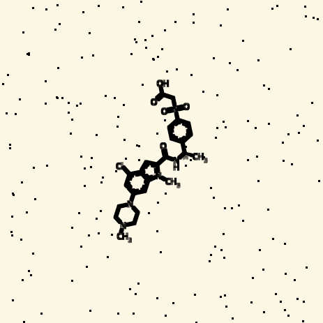 C[C@@H](NC(=O)c1cc2c(Cl)cc(N3CCN(C)CC3)cc2n1C)c1ccc(S(=O)(=O)CC(=O)O)cc1